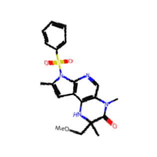 COCC1(C)Nc2c(cnc3c2cc(C)n3S(=O)(=O)c2ccccc2)N(C)C1=O